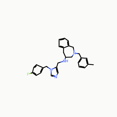 Cc1cccc(CN2Cc3ccccc3CC(NCc3cncn3Cc3ccc(F)cc3)C2)c1